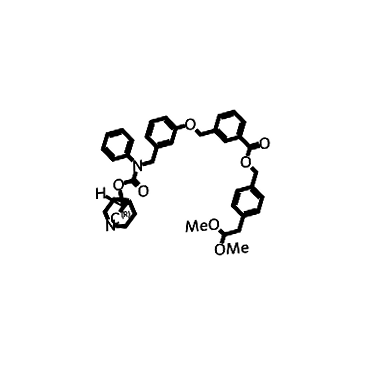 COC(Cc1ccc(COC(=O)c2cccc(COc3cccc(CN(C(=O)O[C@H]4CN5CCC4CC5)c4ccccc4)c3)c2)cc1)OC